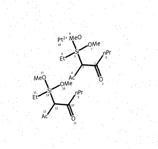 CCCC(=O)C(C(C)=O)[Si](CC)(OC)OC.CCCC(=O)C(C(C)=O)[Si](CC)(OC)OC.[Pt+2]